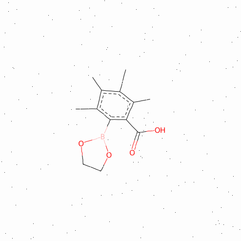 Cc1c(C)c(C)c(C(=O)O)c(B2OCCO2)c1C